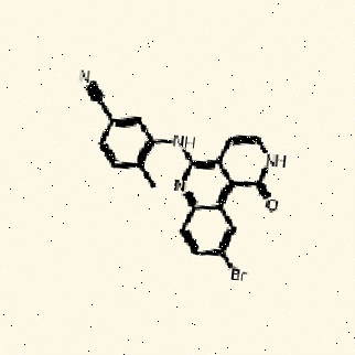 Cc1ccc(C#N)cc1Nc1nc2ccc(Br)cc2c2c(=O)[nH]ccc12